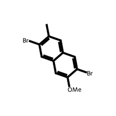 COc1cc2cc(Br)c(C)cc2cc1Br